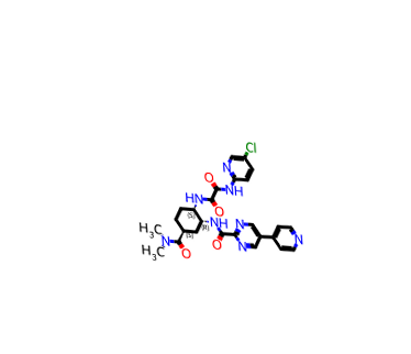 CN(C)C(=O)[C@H]1CC[C@H](NC(=O)C(=O)Nc2ccc(Cl)cn2)[C@H](NC(=O)c2ncc(-c3ccncc3)cn2)C1